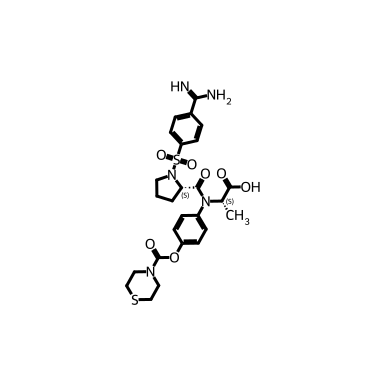 C[C@@H](C(=O)O)N(C(=O)[C@@H]1CCCN1S(=O)(=O)c1ccc(C(=N)N)cc1)c1ccc(OC(=O)N2CCSCC2)cc1